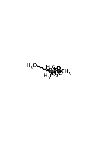 CCCCCCCCCCCCC(C)OC(=O)Nc1c(C(C)C)cccc1C(C)C